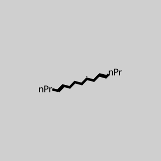 CCCC=CC[CH]CCCC=CCCC